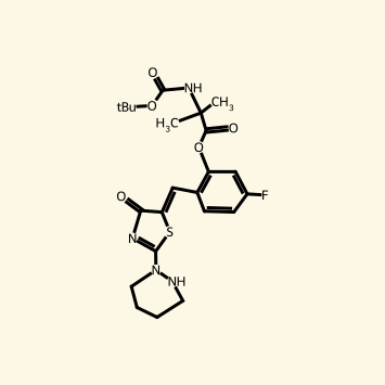 CC(C)(C)OC(=O)NC(C)(C)C(=O)Oc1cc(F)ccc1C=C1SC(N2CCCCN2)=NC1=O